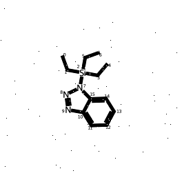 CC[Si](CC)(CC)n1nnc2ccccc21